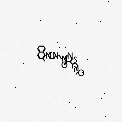 CC(=O)N1Cc2sc3ncn(CCN4CCN(c5c(C)ccc6ccccc56)CC4)c(=O)c3c2C1